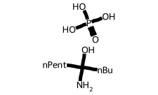 CCCCCC(N)(O)CCCC.O=P(O)(O)O